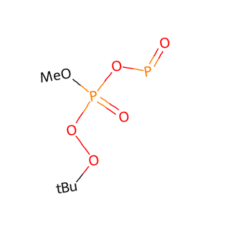 COP(=O)(OOC(C)(C)C)OP=O